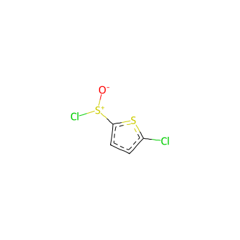 [O-][S+](Cl)c1ccc(Cl)s1